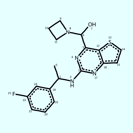 CC(Nc1nc(C(O)N2CCC2)c2sccc2n1)c1cccc(F)c1